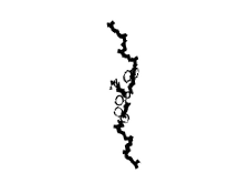 CC(C)CCCC(C)CCCC(C)CCCC(C)CCOC(=O)CCCP(CCCC(=O)OCCC(C)CCCC(C)CCCC(C)CCCC(C)C)C(=O)CCCN(C)C